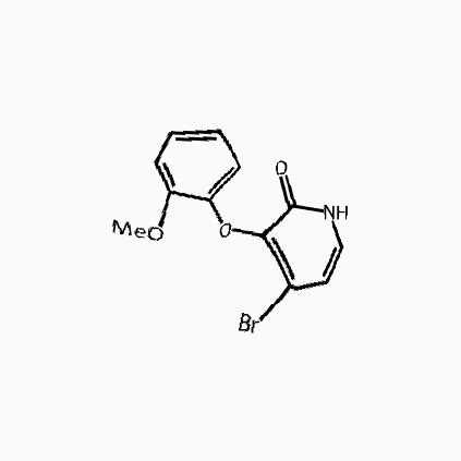 COc1ccccc1Oc1c(Br)cc[nH]c1=O